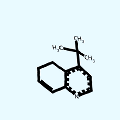 CC(C)(C)c1ccnc2c1CCC=C2